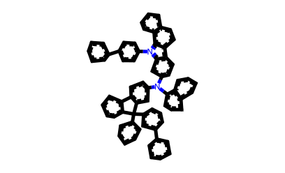 c1ccc(-c2ccc(-n3c4cc(N(c5ccc6c(c5)C(c5ccccc5)(c5cccc(-c7ccccc7)c5)c5ccccc5-6)c5cccc6ccccc56)ccc4c4ccc5ccccc5c43)cc2)cc1